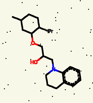 CC1CCC(C(C)C)C(OCC(O)CN2CCCc3ccccc32)C1